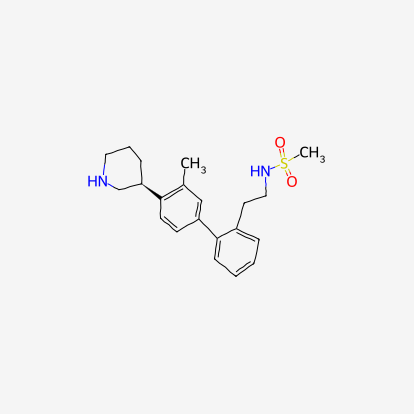 Cc1cc(-c2ccccc2CCNS(C)(=O)=O)ccc1[C@@H]1CCCNC1